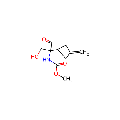 C=C1CC(C(C=O)(CO)NC(=O)OC)C1